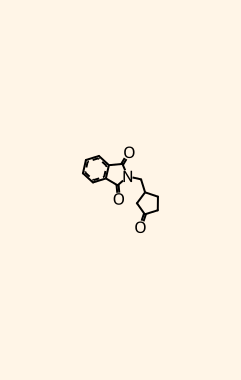 O=C1CCC(CN2C(=O)c3ccccc3C2=O)C1